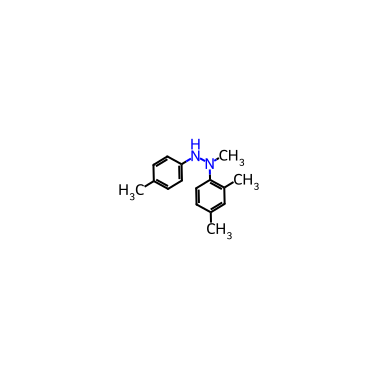 Cc1ccc(NN(C)c2ccc(C)cc2C)cc1